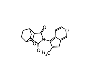 Cc1cc2coccc-2c1N1C(=O)C2C3CCC(C(=O)C3)C2C1=O